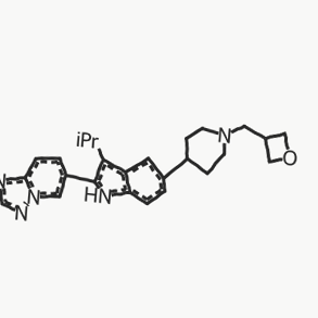 CC(C)c1c(-c2ccc3ncnn3c2)[nH]c2ccc(C3CCN(CC4COC4)CC3)cc12